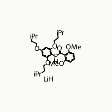 COc1cccc(OC)c1C(=O)Pc1c(OCCC(C)C)cc(OCCC(C)C)cc1OCCC(C)C.[LiH]